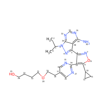 CC(C)n1nc(-c2noc(C3CC3)c2-c2ncc(CCOCCCCO)cn2)c2c(N)ncnc21